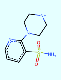 NS(=O)(=O)c1cccnc1N1CCNCC1